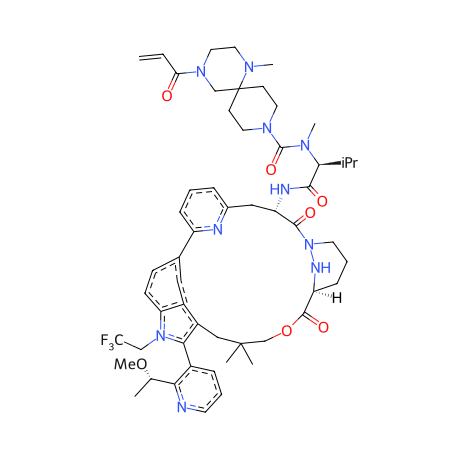 C=CC(=O)N1CCN(C)C2(CCN(C(=O)N(C)[C@H](C(=O)N[C@H]3Cc4cccc(n4)-c4ccc5c(c4)c(c(-c4cccnc4[C@H](C)OC)n5CC(F)(F)F)CC(C)(C)COC(=O)[C@@H]4CCCN(N4)C3=O)C(C)C)CC2)C1